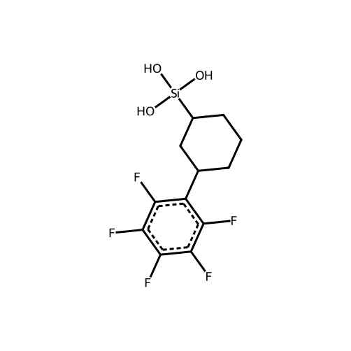 O[Si](O)(O)C1CCCC(c2c(F)c(F)c(F)c(F)c2F)C1